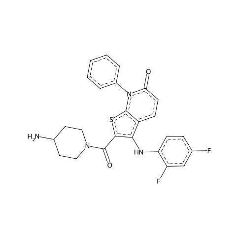 NC1CCN(C(=O)c2sc3c(ccc(=O)n3-c3ccccc3)c2Nc2ccc(F)cc2F)CC1